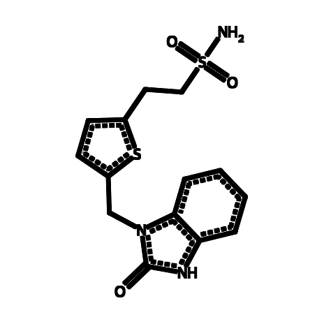 NS(=O)(=O)CCc1ccc(Cn2c(=O)[nH]c3ccccc32)s1